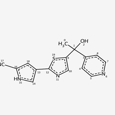 CC(O)(c1ccncc1)c1cnc(-c2c[nH]c(C#N)c2)s1